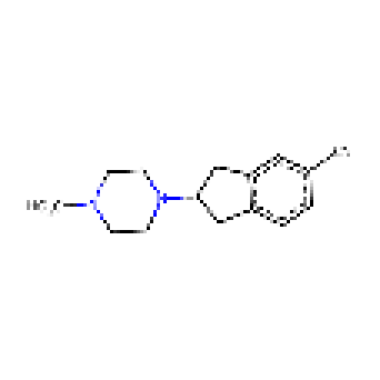 N#Cc1ccc2c(c1)CC(N1CCN(C(=O)O)CC1)C2